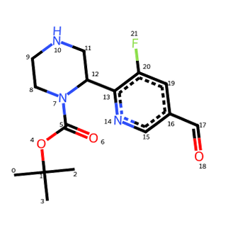 CC(C)(C)OC(=O)N1CCNCC1c1ncc(C=O)cc1F